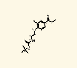 COC(=O)c1ccc(OCCNC(=O)OC(C)(C)C)c(C)c1